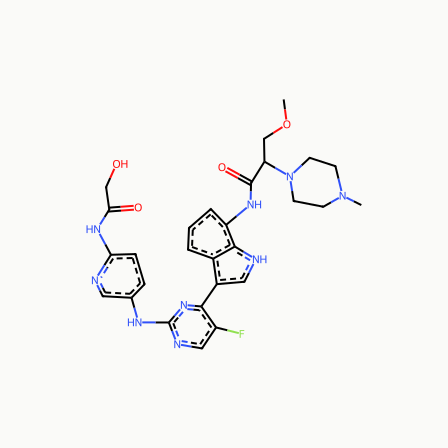 COCC(C(=O)Nc1cccc2c(-c3nc(Nc4ccc(NC(=O)CO)nc4)ncc3F)c[nH]c12)N1CCN(C)CC1